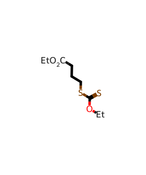 CCOC(=O)CCCSC(=S)OCC